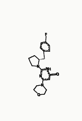 O=c1cc(N2CCOCC2)nc(N2CCC[C@@H]2Cc2ccc(F)cc2)[nH]1